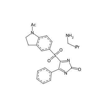 CC(=O)N1CCc2cc(S(=O)(=O)C3=NC(=O)N=C3c3ccccc3)ccc21.CC(C)CN